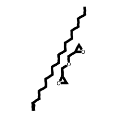 C(OCC1CO1)C1CO1.C=CCCCCCCCCCCCCCCCC